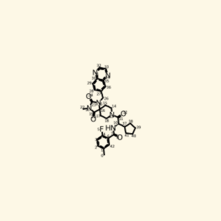 Cc1ccc(F)c(C(=O)N[C@@H](C(=O)N2CCC3(CC2)C(=O)N(C)C(=O)N3Cc2ccc3nccnc3c2)C2CCCC2)c1